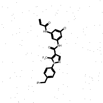 C=CC(=O)Nc1cc(Cl)cc(NC(=O)c2cnn(-c3ccc(CC(C)C)cc3)c2C(F)(F)F)c1